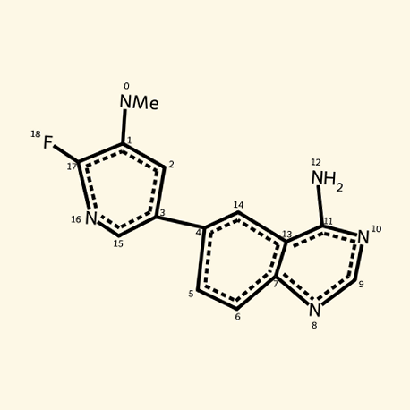 CNc1cc(-c2ccc3ncnc(N)c3c2)cnc1F